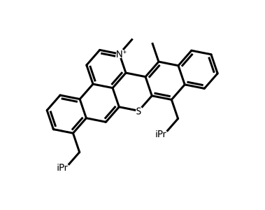 Cc1c2c(c(CC(C)C)c3ccccc13)Sc1cc3c(CC(C)C)cccc3c3cc[n+](C)c-2c13